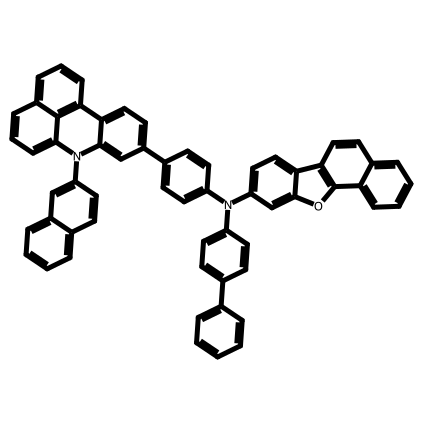 c1ccc(-c2ccc(N(c3ccc(-c4ccc5c(c4)N(c4ccc6ccccc6c4)c4cccc6cccc-5c46)cc3)c3ccc4c(c3)oc3c5ccccc5ccc43)cc2)cc1